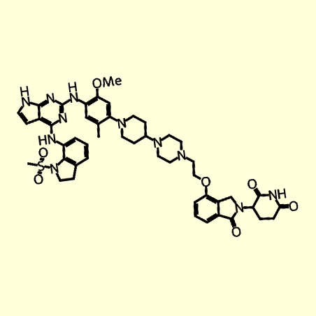 COc1cc(N2CCC(N3CCN(CCOc4cccc5c4CN(C4CCC(=O)NC4=O)C5=O)CC3)CC2)c(C)cc1Nc1nc(Nc2cccc3c2N(S(C)(=O)=O)CC3)c2cc[nH]c2n1